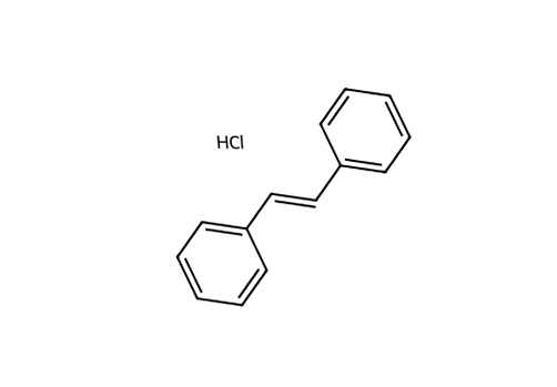 C(=Cc1ccccc1)c1ccccc1.Cl